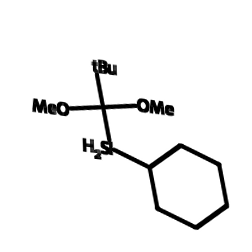 COC(OC)([SiH2]C1CCCCC1)C(C)(C)C